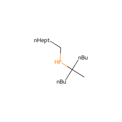 CCCCCCCCPC(C)(CCCC)CCCC